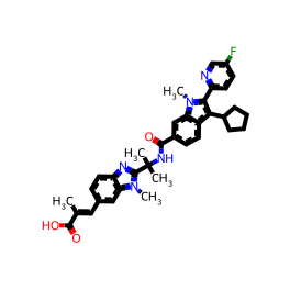 C/C(=C\c1ccc2nc(C(C)(C)NC(=O)c3ccc4c(C5CCCC5)c(-c5ccc(F)cn5)n(C)c4c3)n(C)c2c1)C(=O)O